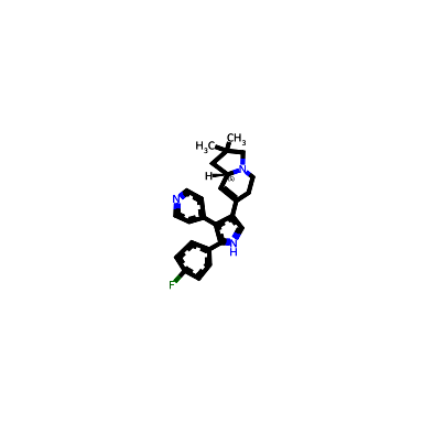 CC1(C)C[C@H]2C=C(c3c[nH]c(-c4ccc(F)cc4)c3-c3ccncc3)CCN2C1